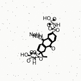 CCC1(S(=O)(=O)NS(=O)(=O)O)C=CC2=C(C1)C(=O)c1ccc(S(=O)(=O)NS(=O)(=O)O)cc1C2=O.[NaH].[NaH]